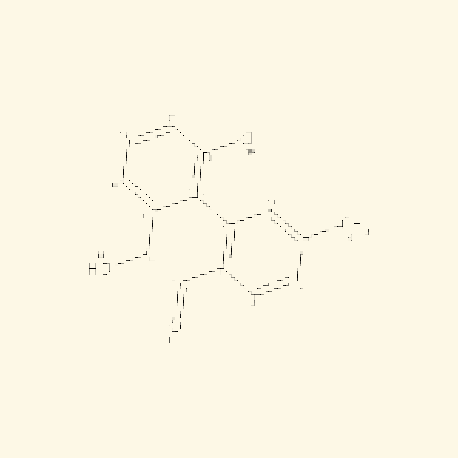 Cc1ccc(C=O)c(-c2c(Cl)cccc2CO)c1